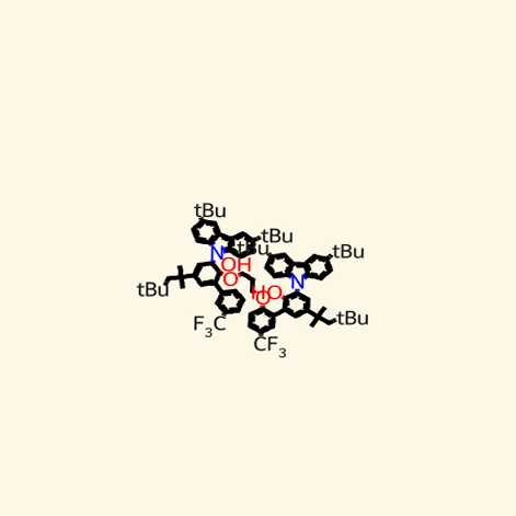 CC(C)(C)CC(C)(C)C1=CC(n2c3ccc(C(C)(C)C)cc3c3cc(C(C)(C)C)ccc32)C(O)(OCCCOc2ccc(C(F)(F)F)cc2-c2cc(C(C)(C)CC(C)(C)C)cc(-n3c4ccc(C(C)(C)C)cc4c4cc(C(C)(C)C)ccc43)c2O)C(c2cccc(C(F)(F)F)c2)=C1